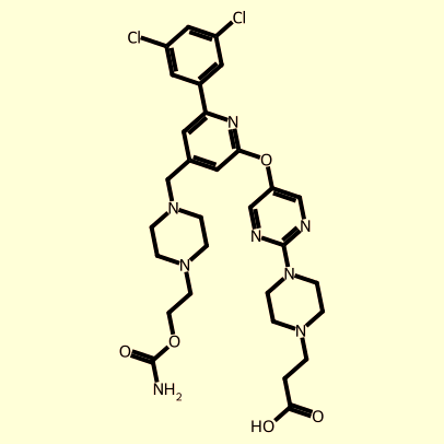 NC(=O)OCCN1CCN(Cc2cc(Oc3cnc(N4CCN(CCC(=O)O)CC4)nc3)nc(-c3cc(Cl)cc(Cl)c3)c2)CC1